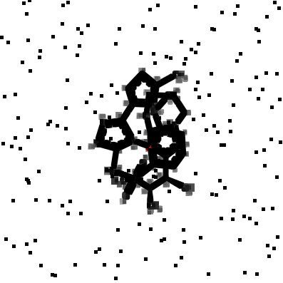 COc1cccc(OC)c1-n1c(NS(=O)(=O)[C@H](C)[C@H](O)c2cc3n(n2)CCCO3)nnc1-c1ccc(C)o1